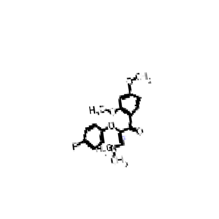 COc1ccc(C(=O)/C(=C/N(C)C)Oc2ccc(F)cc2)c(OC)c1